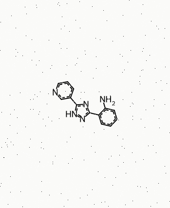 Nc1ccccc1-c1n[nH]c(-c2cccnc2)n1